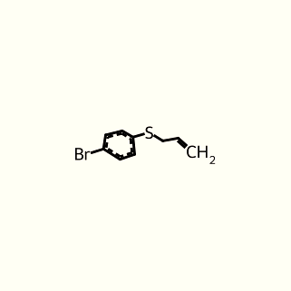 C=CCSc1ccc(Br)cc1